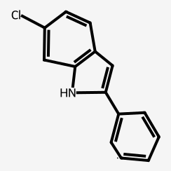 Clc1ccc2cc(-c3c[c]ccc3)[nH]c2c1